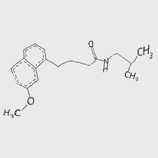 COc1ccc2cccc(CCCC(=O)NCC(C)C)c2c1